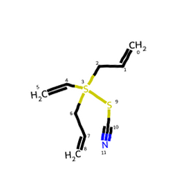 C=CCS(C=C)(CC=C)SC#N